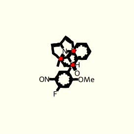 COc1cc(F)c(N=O)cc1N/C1=N/C=C\C(n2ccc(=O)c3ccccc32)=C\CC1C